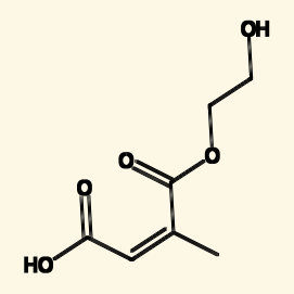 C/C(=C/C(=O)O)C(=O)OCCO